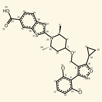 C[C@H]1CC(OCc2c(-c3c(Cl)cccc3Cl)noc2C2CC2)C[C@H](C)N1c1nc2ccc(C(=O)O)cc2s1